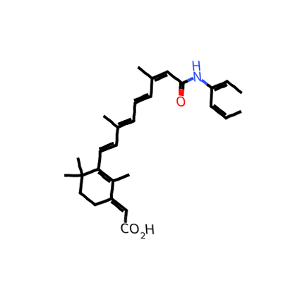 C/C=C\C(=C/C)NC(=O)\C=C(C)/C=C/C=C(C)/C=C/C1=C(C)C(=C/C(=O)O)/CCC1(C)C